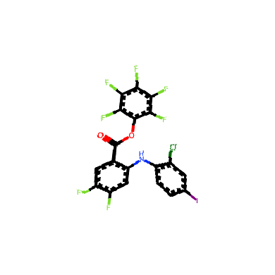 O=C(Oc1c(F)c(F)c(F)c(F)c1F)c1cc(F)c(F)cc1Nc1ccc(I)cc1Cl